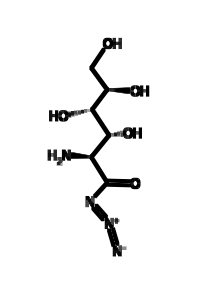 [N-]=[N+]=NC(=O)[C@@H](N)[C@@H](O)[C@H](O)[C@H](O)CO